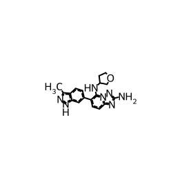 Cc1n[nH]c2cc(-c3ccc4nc(N)nn4c3NC3CCOC3)ccc12